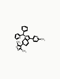 Cc1ccc(-c2cn(C(c3ccccc3)c3ccccn3)c3cc(-c4c(C)noc4C)ccc23)cn1